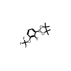 CC1(C)OB(c2cccc(OC(F)(F)F)c2F)OC1(C)C